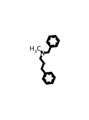 CN(C[CH]Cc1ccccc1)Cc1ccccc1